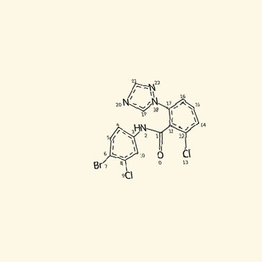 O=C(Nc1ccc(Br)c(Cl)c1)c1c(Cl)cccc1-n1cncn1